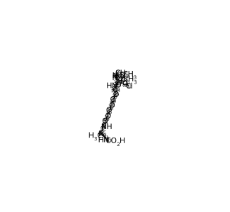 Cc1sc2c(c1C)C(c1ccc(Cl)cc1)=N[C@@H](CC(=O)Nc1ccc(OCCOCCOCCOCCOCCOCCNCCCN(C)CCCNC(=O)O)cc1)c1nnc(C)n1-2